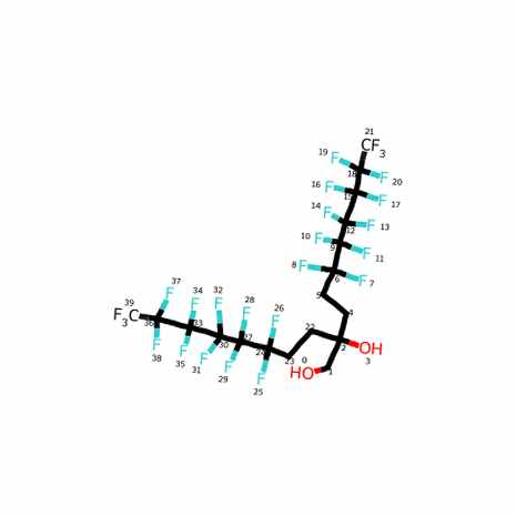 OCC(O)(CCC(F)(F)C(F)(F)C(F)(F)C(F)(F)C(F)(F)C(F)(F)F)CCC(F)(F)C(F)(F)C(F)(F)C(F)(F)C(F)(F)C(F)(F)F